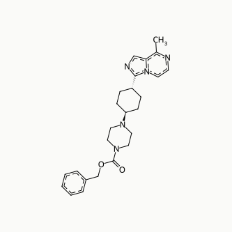 Cc1nccn2c1cnc2[C@H]1CC[C@H](N2CCN(C(=O)OCc3ccccc3)CC2)CC1